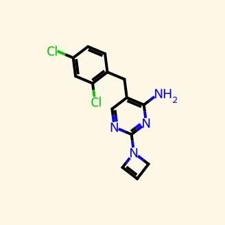 Nc1nc(N2C=CC2)ncc1Cc1ccc(Cl)cc1Cl